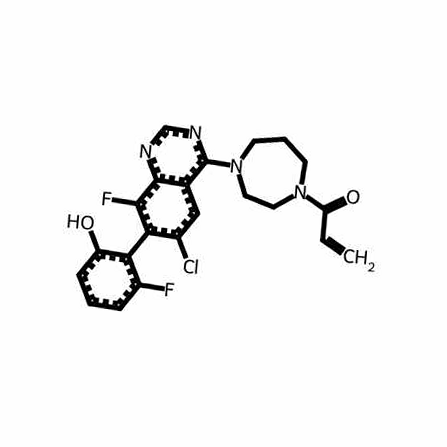 C=CC(=O)N1CCCN(c2ncnc3c(F)c(-c4c(O)cccc4F)c(Cl)cc23)CC1